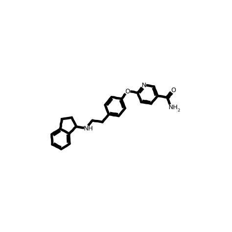 NC(=O)c1ccc(Oc2ccc(CCNC3CCc4ccccc43)cc2)nc1